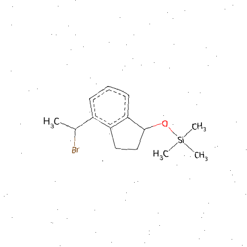 CC(Br)c1cccc2c1CCC2O[Si](C)(C)C